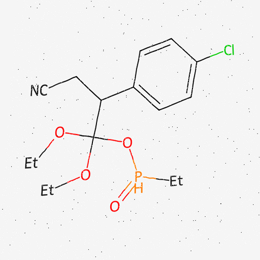 CCOC(OCC)(O[PH](=O)CC)C(CC#N)c1ccc(Cl)cc1